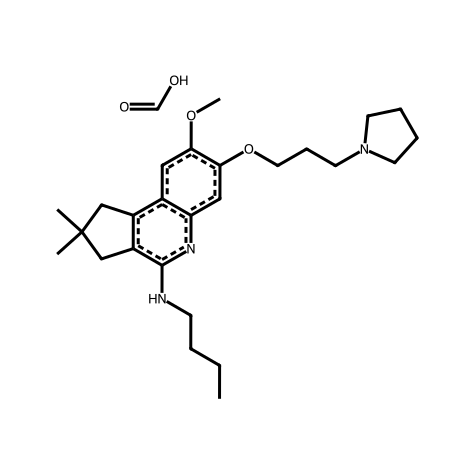 CCCCNc1nc2cc(OCCCN3CCCC3)c(OC)cc2c2c1CC(C)(C)C2.O=CO